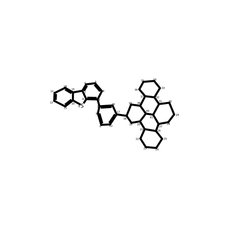 c1cc(-c2cccc3c2sc2ccccc23)cc(C2CC3C4CCCCC4C4CCCC5C6CCCCC6C(C2)C3C45)c1